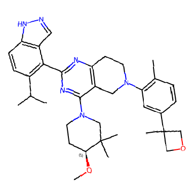 CO[C@H]1CCN(c2nc(-c3c(C(C)C)ccc4[nH]ncc34)nc3c2CN(c2cc(C4(C)COC4)ccc2C)CC3)CC1(C)C